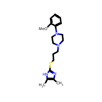 COc1ccccc1N1CCN(CCCSc2nc(C)c(C)[nH]2)CC1